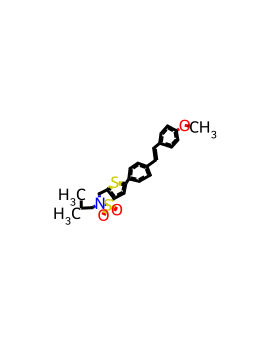 COc1ccc(/C=C/c2ccc(-c3cc4c(s3)CN(CC(C)C)S4(=O)=O)cc2)cc1